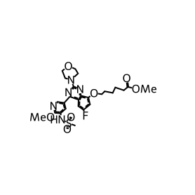 COC(=O)CCCCCOc1cc(F)cc2c(-c3cnc(OC)c(NS(C)(=O)=O)c3)nc(N3CCOCC3)nc12